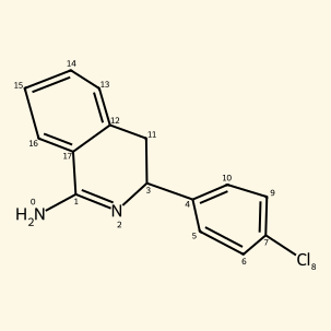 NC1=NC(c2ccc(Cl)cc2)Cc2ccccc21